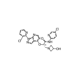 O=C(Nc1ccc(Cl)cn1)[C@H](CN1CC(O)C1)Oc1ncnc2c1cnn2-c1ncccc1Cl